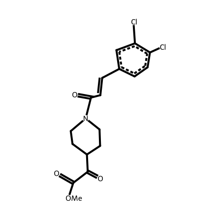 COC(=O)C(=O)C1CCN(C(=O)C=Cc2ccc(Cl)c(Cl)c2)CC1